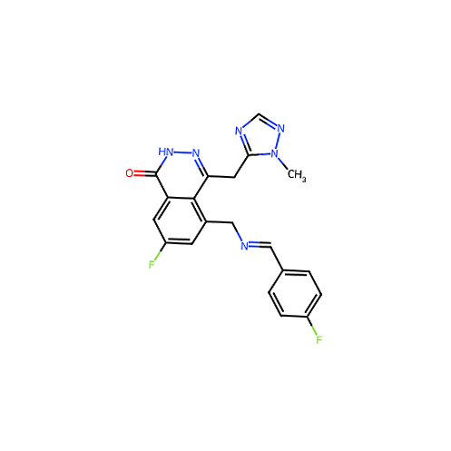 Cn1ncnc1Cc1n[nH]c(=O)c2cc(F)cc(C/N=C/c3ccc(F)cc3)c12